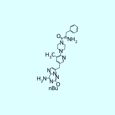 CCCCOc1nc(N)c2ncc(Cc3cnc(N4CCN(C(=O)[C@@H](N)Cc5ccccc5)CC4)c(C)c3)n2n1